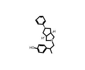 CC(CN1C[C@H]2C[C@@H](c3ccccc3)C[C@H]2C1)c1ccc(O)cc1